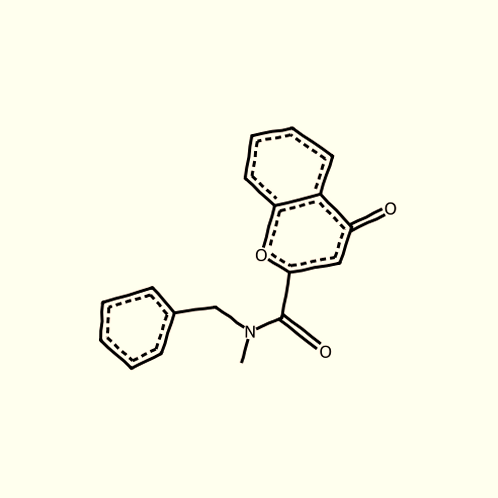 CN(Cc1ccccc1)C(=O)c1cc(=O)c2ccccc2o1